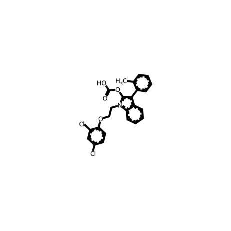 Cc1ccccc1-c1c(OC(=O)O)n(CCOc2ccc(Cl)cc2Cl)c2ccccc12